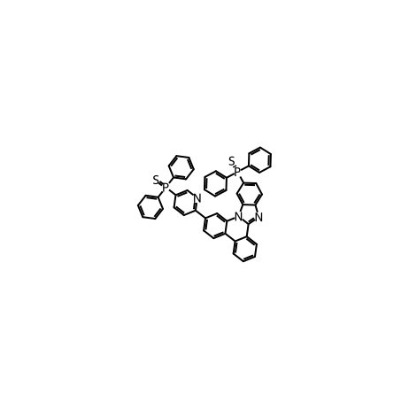 S=P(c1ccccc1)(c1ccccc1)c1ccc(-c2ccc3c4ccccc4c4nc5ccc(P(=S)(c6ccccc6)c6ccccc6)cc5n4c3c2)nc1